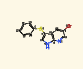 Brc1cnc2[nH]cc(Sc3ccccc3)c2c1